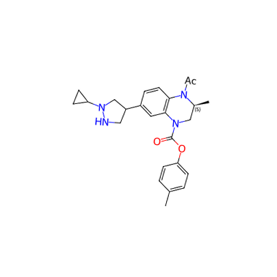 CC(=O)N1c2ccc(C3CNN(C4CC4)C3)cc2N(C(=O)Oc2ccc(C)cc2)C[C@@H]1C